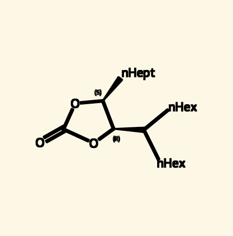 CCCCCCC[C@@H]1OC(=O)O[C@@H]1C(CCCCCC)CCCCCC